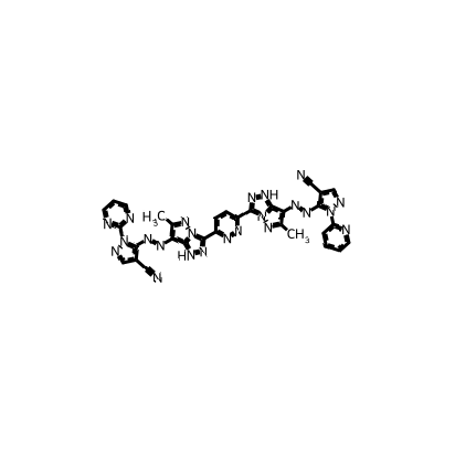 Cc1nn2c(-c3ccc(-c4n[nH]c5c(/N=N/c6c(C#N)cnn6-c6ncccn6)c(C)nn45)nn3)n[nH]c2c1/N=N/c1c(C#N)cnn1-c1ccccn1